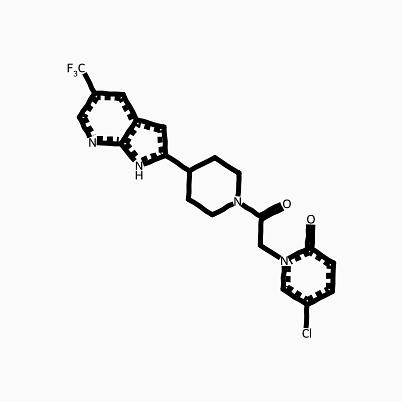 O=C(Cn1cc(Cl)ccc1=O)N1CCC(c2cc3cc(C(F)(F)F)cnc3[nH]2)CC1